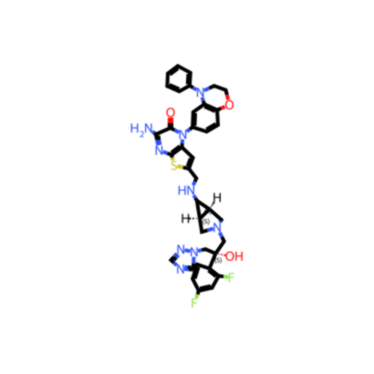 Nc1nc2sc(CNC3[C@H]4CN(C[C@](O)(Cn5cncn5)c5ccc(F)cc5F)C[C@@H]34)cc2n(-c2ccc3c(c2)N(c2ccccc2)CCO3)c1=O